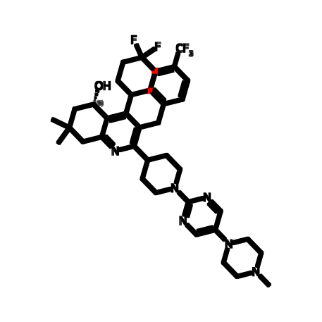 CN1CCN(c2cnc(N3CCC(c4nc5c(c(C6CCC(F)(F)CC6)c4Cc4ccc(C(F)(F)F)cc4)[C@@H](O)CC(C)(C)C5)CC3)nc2)CC1